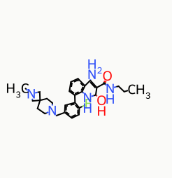 CCCNC(=O)C1=C(N)c2cccc(-c3cc(CN4CCC5(CC4)CN(C)C5)ccc3F)c2NC1O